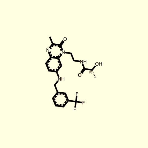 Cc1nc2ccc(NCc3cccc(C(F)(F)F)c3)cc2n(CCNC(=O)[C@@H](C)O)c1=O